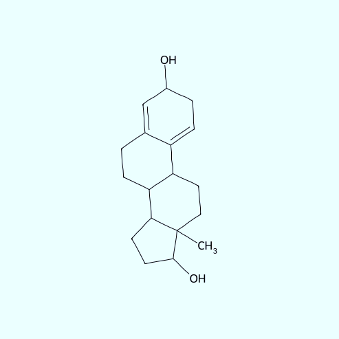 CC12CCC3C4=CCC(O)C=C4CCC3C1CCC2O